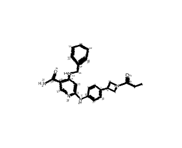 CCC(=O)N1CC(c2ccc(Nc3cc(NCc4ccccc4)c(C(N)=O)cn3)cc2)C1